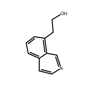 OCCc1cccc2ccncc12